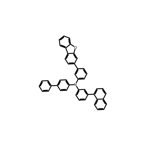 c1ccc(-c2ccc(N(c3cccc(-c4ccc5c(c4)oc4ccccc45)c3)c3cccc(-c4cccc5ccccc45)c3)cc2)cc1